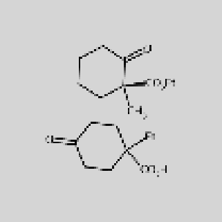 CCC1(C(=O)O)CCC(=O)CC1.CCOC(=O)[C@@]1(C)CCCCC1=O